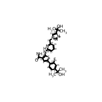 CC(C)(O)c1ccc(-c2cc(C(N)=O)c(Nc3cccc(Cn4cc(C(C)(C)O)nn4)n3)s2)c(F)c1